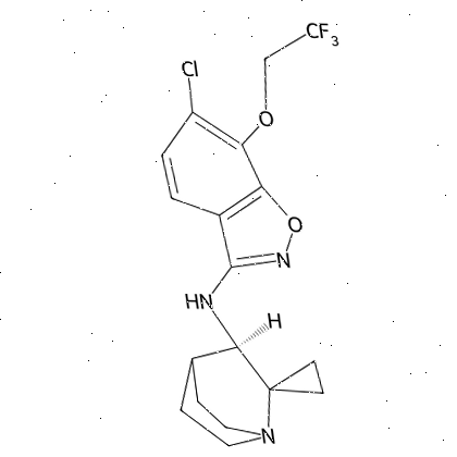 FC(F)(F)COc1c(Cl)ccc2c(N[C@@H]3C4CCN(CC4)C34CC4)noc12